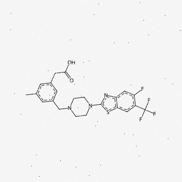 Cc1cc(CC(=O)O)cc(CN2CCN(c3nc4cc(F)c(C(F)(F)F)cc4s3)CC2)c1